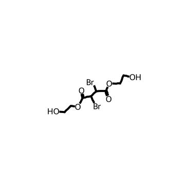 O=C(OCCO)C(Br)C(Br)C(=O)OCCO